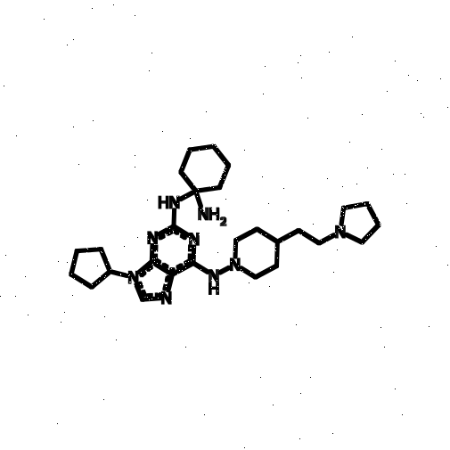 NC1(Nc2nc(NN3CCC(CCN4CCCC4)CC3)c3ncn(C4CCCC4)c3n2)CCCCC1